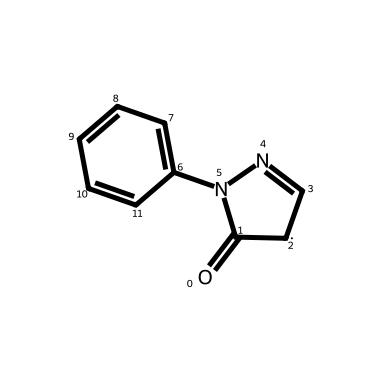 O=C1[CH]C=NN1c1ccccc1